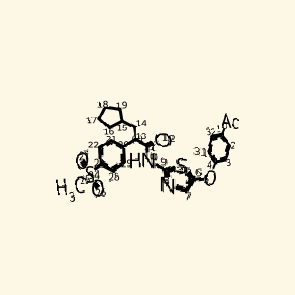 CC(=O)c1ccc(Oc2cnc(NC(=O)[C@H](CC3CCCC3)c3ccc(S(C)(=O)=O)cc3)s2)cc1